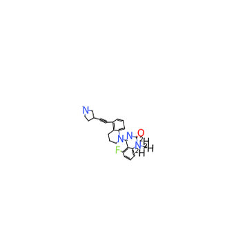 [2H]C([2H])([2H])n1c(=O)nc(N2CCCc3c(C#CC4CCN(C)C4)cccc32)c2c(F)cccc21